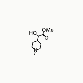 COC(=O)C(O)C1CCN(C)CC1